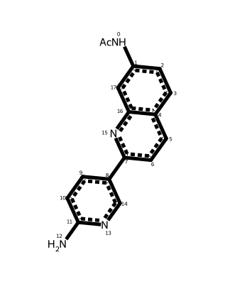 CC(=O)Nc1ccc2ccc(-c3ccc(N)nc3)nc2c1